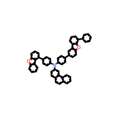 c1ccc(-c2cccc3c2oc2ccc(-c4ccc(N(c5ccc(-c6cccc7oc8ccccc8c67)cc5)c5ccc6ccc7ccccc7c6c5)cc4)cc23)cc1